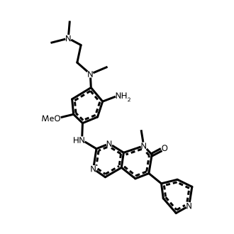 COc1cc(N(C)CCN(C)C)c(N)cc1Nc1ncc2cc(-c3ccncc3)c(=O)n(C)c2n1